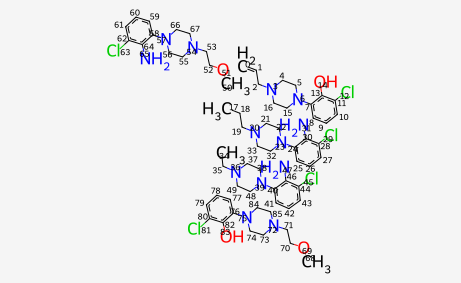 C=CCN1CCN(c2cccc(Cl)c2O)CC1.CCCN1CCN(c2cccc(Cl)c2N)CC1.CCN1CCN(c2cccc(Cl)c2N)CC1.COCCN1CCN(c2cccc(Cl)c2N)CC1.COCCN1CCN(c2cccc(Cl)c2O)CC1